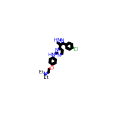 CCN(CC)CCOc1ccc(Nc2nccc(-c3c[nH]nc3-c3ccc(Cl)cc3)n2)cc1